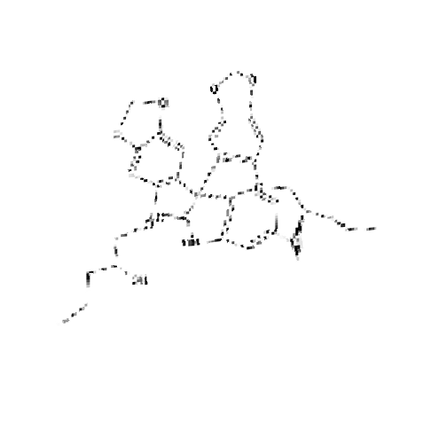 CCC[C@@H](O)COc1cc2c(cc1C1(c3cc4c(cc3OC[C@H](O)CCC)OCO4)C(=O)Nc3cc(F)ccc31)OCO2